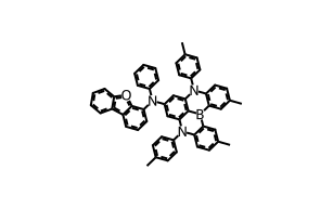 Cc1ccc(N2c3ccc(C)cc3B3c4cc(C)ccc4N(c4ccc(C)cc4)c4cc(N(c5ccccc5)c5cccc6c5oc5ccccc56)cc2c43)cc1